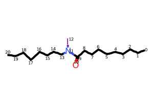 CCCCCCCCCC(=O)N(I)CCCCCCCC